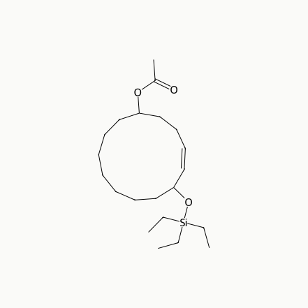 CC[Si](CC)(CC)OC1C=CCCC(OC(C)=O)CCCCCCC1